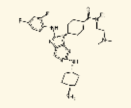 CCN(CCN(C)C)C(=O)[C@H]1CC[C@@H](n2c(Nc3ccc(F)cc3F)nc3cnc(N[C@H]4CC[C@H](N)CC4)nc32)CC1